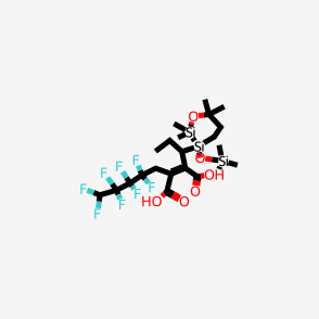 CCC(C(C(=O)O)=C(CC(F)(F)C(F)(F)C(F)(F)C(F)F)C(=O)O)[Si]1(O[Si](C)(C)C)CCC(C)(C)O[Si]1(C)C